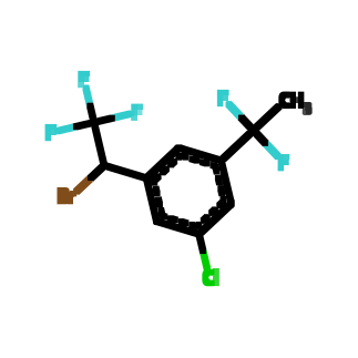 CC(F)(F)c1cc(Cl)cc(C(Br)C(F)(F)F)c1